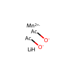 CC(=O)[O-].CC(=O)[O-].[LiH].[Mn+2]